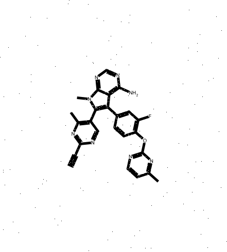 C#Cc1ncc(-c2c(-c3ccc(Oc4nccc(C)n4)c(F)c3)c3c(N)ncnc3n2C)c(C)n1